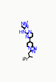 CC(C)C(C)Cc1nnc2cc(-c3ccnc(Nc4cnn(C)n4)n3)ccn12